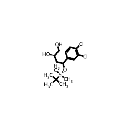 CC(C)(C)[Si](C)(C)OC(C[C@@H](O)CO)c1ccc(Cl)c(Cl)c1